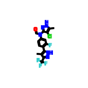 Cc1[nH]nc(N(C=O)c2ccc(-c3[nH]nc(C(F)(F)F)c3C)c(F)c2)c1Cl